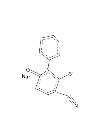 N#Cc1ccc(=O)n(-c2ccccc2)c1[S-].[Na+]